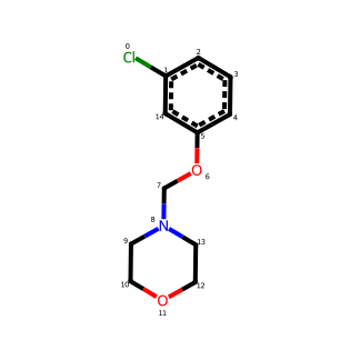 Clc1cccc(OCN2CCOCC2)c1